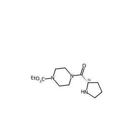 CCOC(=O)N1CCN(C(=O)[C@@H]2CCCN2)CC1